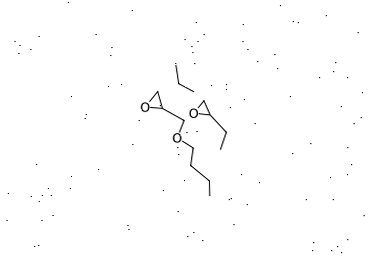 CCC.CCC1CO1.CCCCOCC1CO1